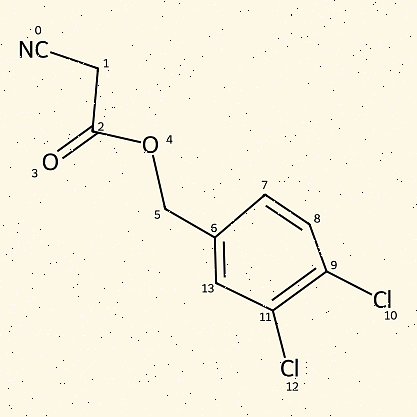 N#CCC(=O)OCc1ccc(Cl)c(Cl)c1